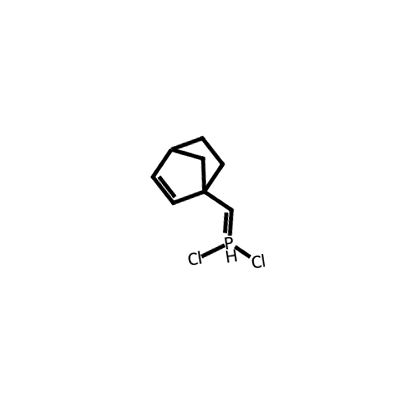 Cl[PH](Cl)=CC12C=CC(CC1)C2